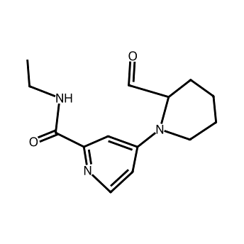 CCNC(=O)c1cc(N2CCCCC2C=O)ccn1